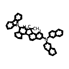 CC1(C)c2cc(-n3c4ccccc4c4ccccc43)c3ccccc3c2-c2ccc3cc(N(c4ccc5ccccc5c4)c4ccc5ccccc5c4)ccc3c21